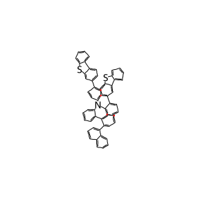 c1ccc(-c2cccc3ccccc23)c(-c2ccccc2N(c2ccc(-c3ccc4c(c3)sc3ccccc34)cc2)c2ccccc2-c2ccc3sc4ccccc4c3c2)c1